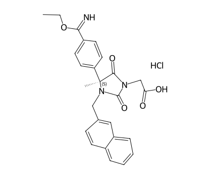 CCOC(=N)c1ccc([C@@]2(C)C(=O)N(CC(=O)O)C(=O)N2Cc2ccc3ccccc3c2)cc1.Cl